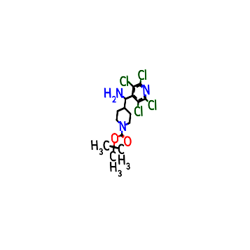 CC(C)(C)OC(=O)N1CCC(C(N)c2c(Cl)c(Cl)nc(Cl)c2Cl)CC1